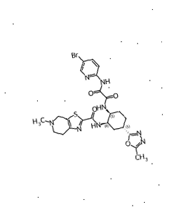 Cc1nnc([C@H]2CC[C@H](NC(=O)C(=O)Nc3ccc(Br)cn3)[C@H](NC(=O)c3nc4c(s3)CN(C)CC4)C2)o1